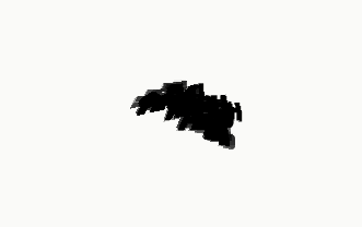 CCOC(=O)[C@@]12C[C@@H]1[C@@H](n1cnc3c(NC(C4CCC4)C4CCC4)nc(Cl)nc31)C(O)C2O